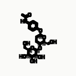 CC(=O)Nc1ccc(O[C@@H]2CC[C@H](O[C@H]3O[C@H](CO)[C@@H](O)[C@H](O)[C@H]3O)[C@@H](CO)O2)cc1